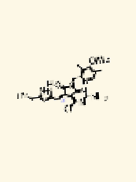 COc1c(C)cnc(CN2C(=O)/C(=C\c3cc(CC(C)C)n[nH]3)c3c(Cl)nc(N)nc32)c1C